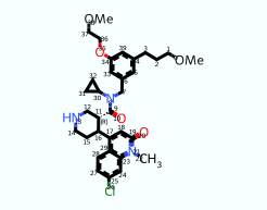 COCCCc1cc(CN(C(=O)[C@H]2CNCCC2c2cc(=O)n(C)c3cc(Cl)ccc23)C2CC2)cc(OCCOC)c1